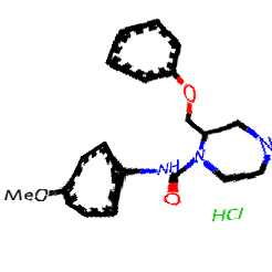 COc1ccc(NC(=O)N2CCNCC2COc2ccccc2)cc1.Cl